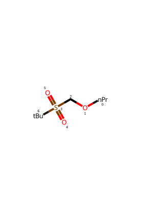 CCCOCS(=O)(=O)C(C)(C)C